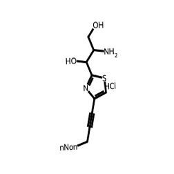 CCCCCCCCCCC#Cc1csc(C(O)C(N)CO)n1.Cl